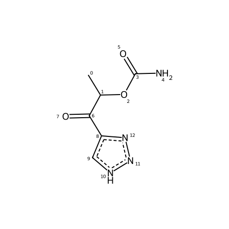 CC(OC(N)=O)C(=O)c1c[nH]nn1